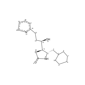 O=C1N[C@@H](CC2CCCCC2)[C@H]([C@H](O)CCc2ccccn2)O1